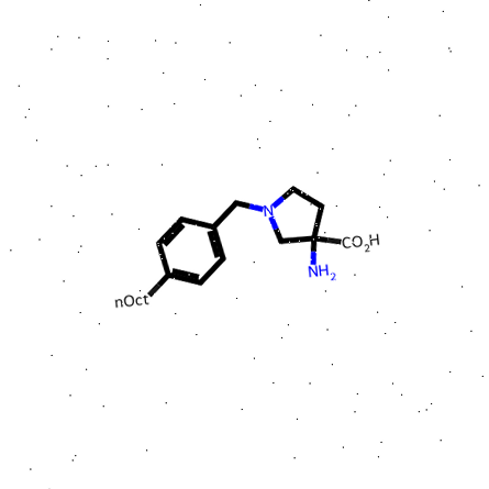 CCCCCCCCc1ccc(CN2CCC(N)(C(=O)O)C2)cc1